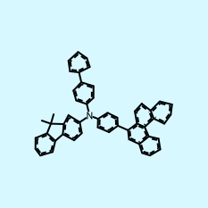 CC1(C)c2ccccc2-c2ccc(N(c3ccc(-c4ccccc4)cc3)c3ccc(-c4cc5ccccc5c5c4ccc4ccccc45)cc3)cc21